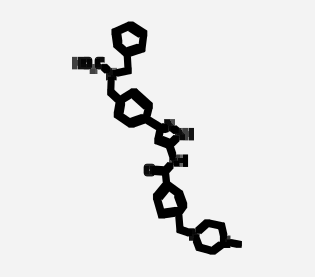 CN1CCN(Cc2ccc(C(=O)Nc3cc(-c4ccc(CN(Cc5ccccc5)C(=O)O)cc4)n[nH]3)cc2)CC1